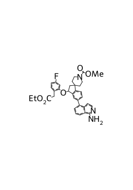 CCOC(=O)Cc1ccc(F)cc1OC1CC2(CCN(C(=O)OC)CC2)c2ccc(-c3cccc4c(N)nccc34)cc21